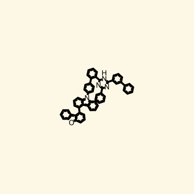 c1ccc(C2=NC(c3ccccc3-c3ccc(-n4c5ccccc5c5c(-c6cccc7oc8ccccc8c67)cccc54)cc3)NC(c3cccc(-c4ccccc4)c3)=N2)cc1